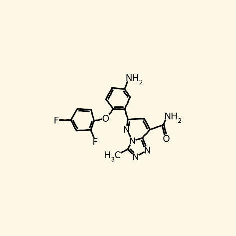 Cc1nnc2c(C(N)=O)cc(-c3cc(N)ccc3Oc3ccc(F)cc3F)nn12